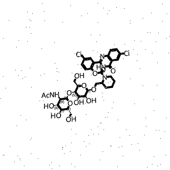 CC(=O)N[C@H]1[C@H](O[C@H]2[C@H](O)[C@@H](O)[C@H](OCC3CCCCN3C(=O)Oc3ccc(Cl)cc3-c3nc4ccc(Cl)cc4c(=O)[nH]3)O[C@@H]2CO)O[C@H](CO)[C@@H](O)[C@@H]1O